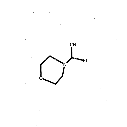 CCC(C#N)N1CCOCC1